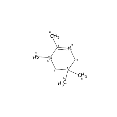 CC1=NCC(C)(C)CN1S